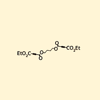 CCOC(=O)C#CC(=O)OCCCCOC(=O)C#CC(=O)OCC